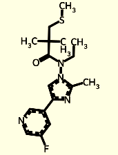 CCN(C(=O)C(C)(C)CSC)n1cc(-c2cncc(F)c2)nc1C